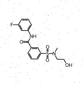 CN(CCO)S(=O)(=O)c1cccc(C(=O)Nc2cccc(F)c2)c1